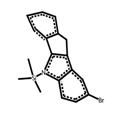 C[Si](C)(C)n1c2c(c3cc(Br)ccc31)Cc1ccccc1-2